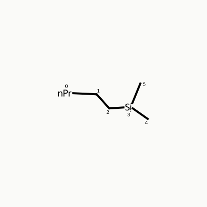 CCCCC[Si](C)C